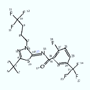 CC(C)(C)c1nn(CCCC(F)(F)F)/c(=N/C(=O)c2cc(C(F)(F)F)ccc2F)s1